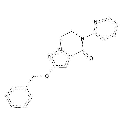 O=C1c2cc(OCc3ccccc3)nn2CCN1c1ccccn1